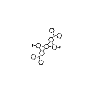 Fc1ccc2c(c1)c1cc(N(c3ccccc3)c3ccccc3)ccc1c1cc3c4ccc(F)cc4c4cc(N(c5ccccc5)c5ccccc5)ccc4c3cc21